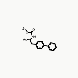 CC(=O)C(Cc1ccc(-c2ccccc2)cc1)NC(=O)OC(C)(C)C